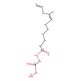 C=CC/C(C)=C\CCCCCC(=O)OCC(=O)CO